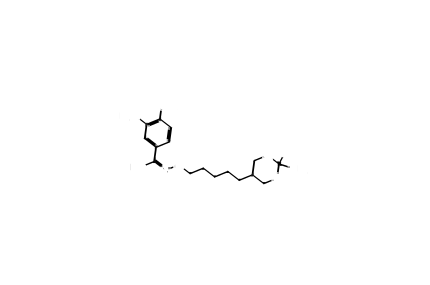 CC(=NOCCCCCC1COC(C)(C(=O)O)OC1)c1ccc(C)c(C)c1